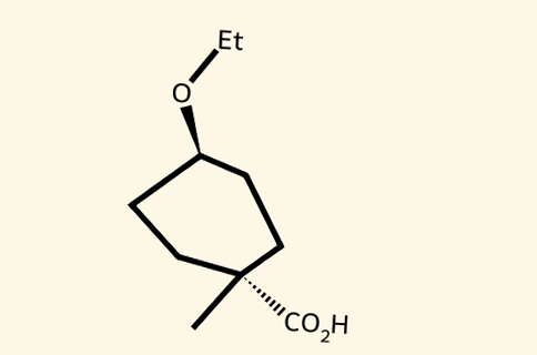 CCO[C@H]1CC[C@](C)(C(=O)O)CC1